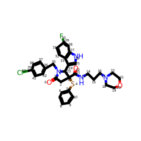 O=C1CC(Sc2ccccc2)(C(=O)NCCCN2CCOCC2)C(c2c[nH]c3cc(F)ccc23)N1Cc1ccc(Cl)cc1